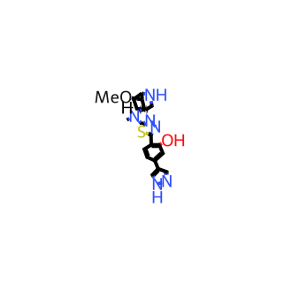 COC1C2CCC(CN2)[C@H]1N(C)c1nnc(-c2ccc(-c3cn[nH]c3)cc2O)s1